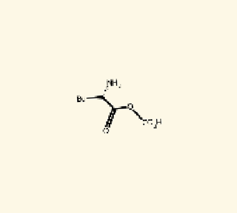 CC[C@H](C)[C@H](N)C(=O)OC(=O)O